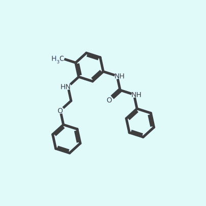 Cc1ccc(NC(=O)Nc2ccccc2)cc1NCOc1ccccc1